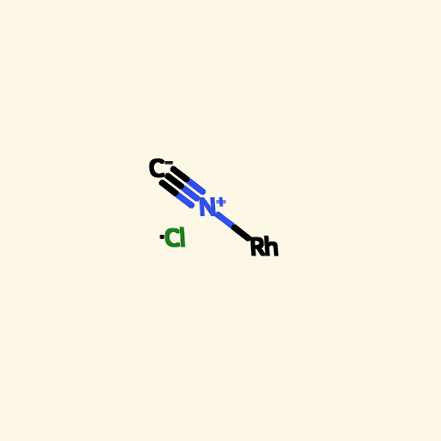 [C-]#[N+][Rh].[Cl]